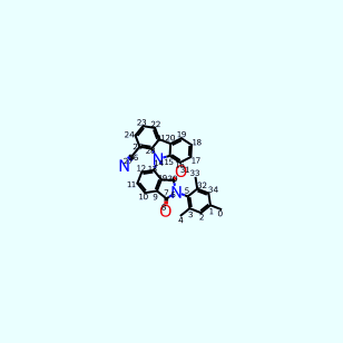 Cc1cc(C)c(N2C(=O)c3cccc(-n4c5ccccc5c5cccc(C#N)c54)c3C2=O)c(C)c1